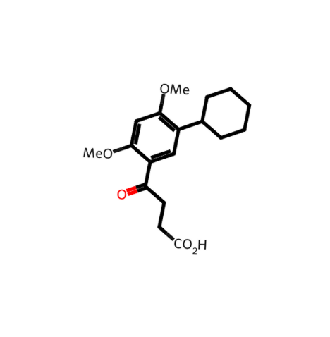 COc1cc(OC)c(C2CCCCC2)cc1C(=O)CCC(=O)O